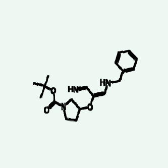 CC(C)(C)OC(=O)N1CCC(O/C(C=N)=C/NCc2ccccc2)C1